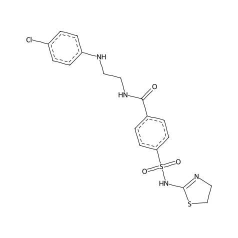 O=C(NCCNc1ccc(Cl)cc1)c1ccc(S(=O)(=O)NC2=NCCS2)cc1